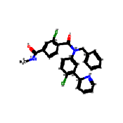 CNC(=O)c1ccc(C(=O)N(Cc2ccccc2)c2ccc(Cl)c(-c3ccccn3)c2)c(Cl)c1